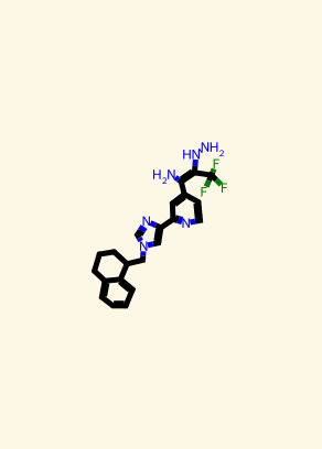 NN/C(=C(\N)c1ccnc(-c2cn(CC3CCCc4ccccc43)cn2)c1)C(F)(F)F